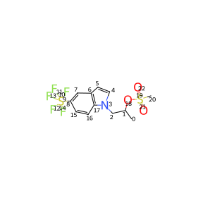 CC(Cn1ccc2cc(S(F)(F)(F)(F)F)ccc21)OS(C)(=O)=O